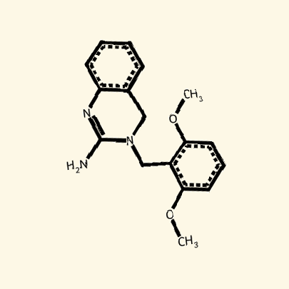 COc1cccc(OC)c1CN1Cc2ccccc2N=C1N